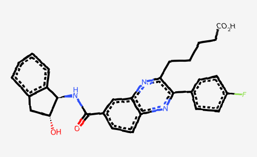 O=C(O)CCCCc1nc2cc(C(=O)N[C@@H]3c4ccccc4C[C@H]3O)ccc2nc1-c1ccc(F)cc1